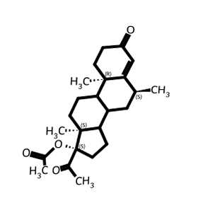 CC(=O)O[C@@]1(C(C)=O)CCC2C3C[C@H](C)C4=CC(=O)CC[C@]4(C)C3CC[C@@]21C